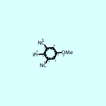 COc1cc(C#N)c(C(C)C)c(C#N)c1